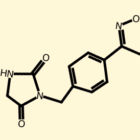 CC(=NO)c1ccc(CN2C(=O)CNC2=O)cc1